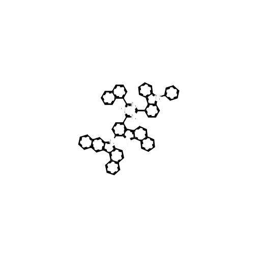 c1ccc(-n2c3ccccc3c3c(-c4nc(-c5cccc6ccccc56)nc(-c5ccc(-n6c7cc8ccccc8cc7c7c8ccccc8ccc76)c6sc7c8ccccc8ccc7c56)n4)cccc32)cc1